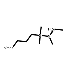 CCCCCCCC[Si](C)(C)N(C)[SiH2]C